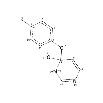 Cc1ccc(OC2(O)C=CN=CN2)cc1